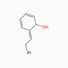 CC(C)CC=C1C=CC=CC1O